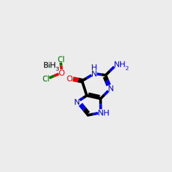 ClOCl.Nc1nc2[nH]cnc2c(=O)[nH]1.[BiH3]